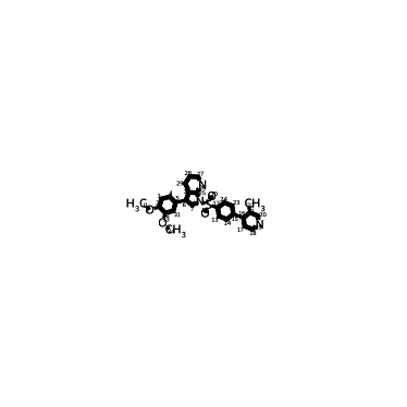 COc1ccc(-c2cn(S(=O)(=O)c3ccc(-c4ccncc4C)cc3)c3ncccc23)cc1OC